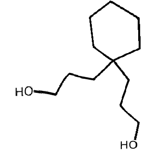 OCCCC1(CCCO)CCCCC1